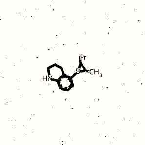 CC(C)C1B(c2cccc3c2CCCN3)C1C